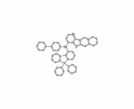 c1ccc(-c2ccc(N(c3cccc4c3-c3ccccc3C4(c3ccccc3)c3ccccc3)c3ccnc4c3sc3cc5ccccc5cc34)cc2)cc1